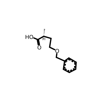 C[C@H](CCOCc1ccccc1)C(=O)O